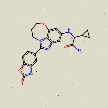 NC(=O)[C@@H](Nc1cc2c3c(c1)nc(-c1ccc4oc(=O)[nH]c4c1)n3CCCO2)C1CC1